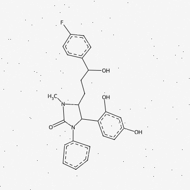 CN1C(=O)N(c2ccccc2)C(c2ccc(O)cc2O)C1CCC(O)c1ccc(F)cc1